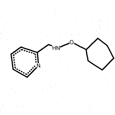 c1ccc(CNOC2CCCCC2)nc1